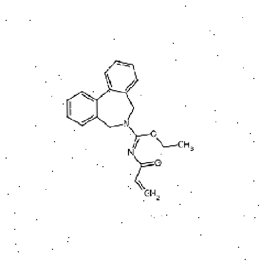 C=CC(=O)N=C(OCC)N1Cc2ccccc2-c2ccccc2C1